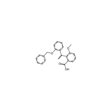 C=C(c1ccccc1OCc1ccccc1)c1c(OC)cccc1C(=O)O